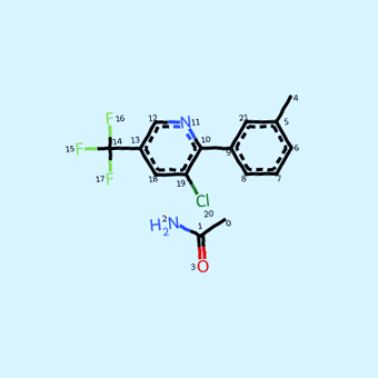 CC(N)=O.Cc1cccc(-c2ncc(C(F)(F)F)cc2Cl)c1